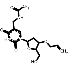 C=CCOC1CC(n2cc(CNC(=O)C(F)(F)F)c(=O)[nH]c2=O)OC1CO